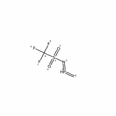 C=[PH]=NS(=O)(=O)C(F)(F)F